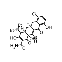 CCN(CC)[C@@H]1C(O)=C(C(N)=O)C(=O)[C@@]2(O)C(O)=C3C(=O)c4c(O)ccc(Cl)c4C[C@H]3C[C@@H]12